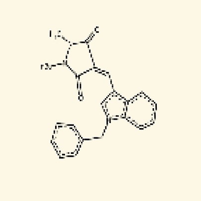 CCCCN1C(=O)/C(=C\c2cn(Cc3ccccc3)c3ccccc23)C(=O)N1C